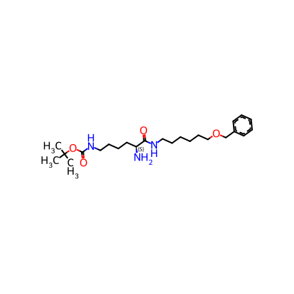 CC(C)(C)OC(=O)NCCCC[C@H](N)C(=O)NCCCCCCOCc1ccccc1